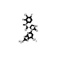 CN(C(=O)[C@@H]1CNC(=O)N1c1cc(C(F)(F)F)c2nc(N)sc2n1)c1ccc(F)c(Cl)c1F